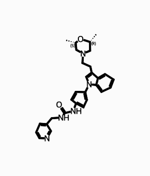 C[C@@H]1CN(CCc2cn(-c3ccc(NC(=O)NCc4cccnc4)cc3)c3ccccc23)C[C@H](C)O1